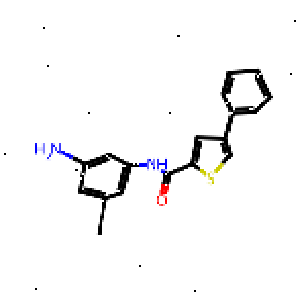 Cc1cc(N)cc(NC(=O)c2cc(-c3ccccc3)cs2)c1